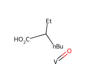 CCCCC(CC)C(=O)O.[O]=[V]